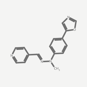 CN(N=Cc1ccncc1)c1ccc(-c2cnco2)cc1